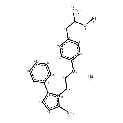 CCOC(Cc1ccc(OCCn2c(C)ccc2-c2ccccc2)cc1)C(=O)O.[NaH]